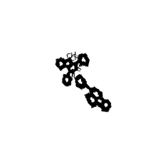 CC1(C)c2ccccc2-c2c1c1c3ccccc3sc1c1c2c2ccccc2n1-c1ccc(-c2ccc3c4c(cccc24)-c2ccccc2-3)cc1